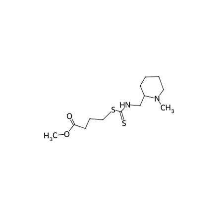 COC(=O)CCCSC(=S)NCC1CCCCN1C